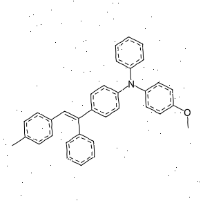 COc1ccc(N(c2ccccc2)c2ccc(C(=Cc3ccc(C)cc3)c3ccccc3)cc2)cc1